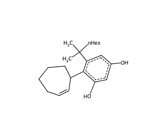 CCCCCCC(C)(C)c1cc(O)cc(O)c1C1C=CCCCC1